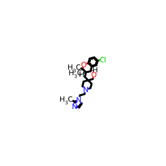 Cc1nccn1CCN1CCC2(CC1)CO[C@@H]1c3cc(Cl)ccc3OC(C)(C)[C@H]1C2